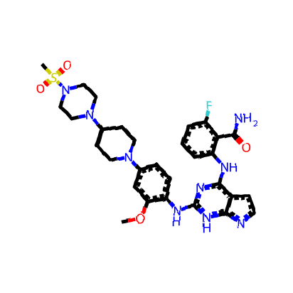 COc1cc(N2CCC(N3CCN(S(C)(=O)=O)CC3)CC2)ccc1Nc1nc(Nc2cccc(F)c2C(N)=O)c2ccnc-2[nH]1